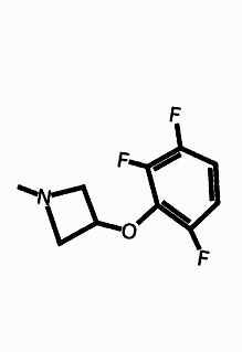 CN1CC(Oc2c(F)ccc(F)c2F)C1